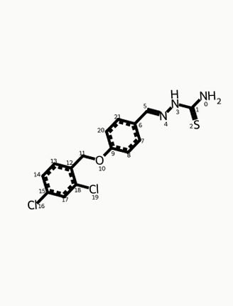 NC(=S)NN=Cc1ccc(OCc2ccc(Cl)cc2Cl)cc1